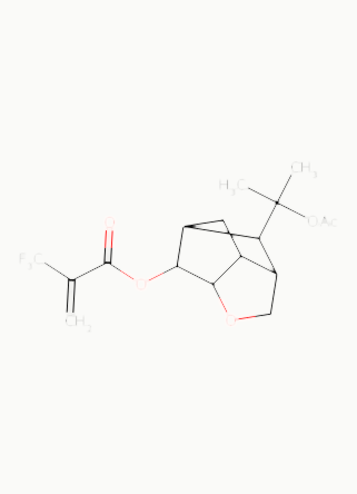 C=C(C(=O)OC1C2CC3C(COC31)C2C(C)(C)OC(C)=O)C(F)(F)F